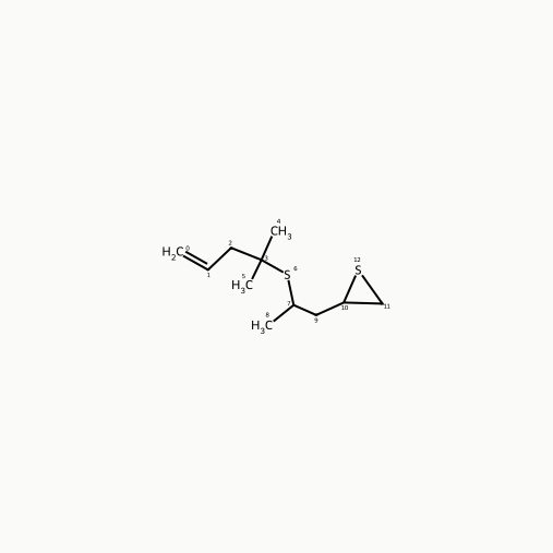 C=CCC(C)(C)SC(C)CC1CS1